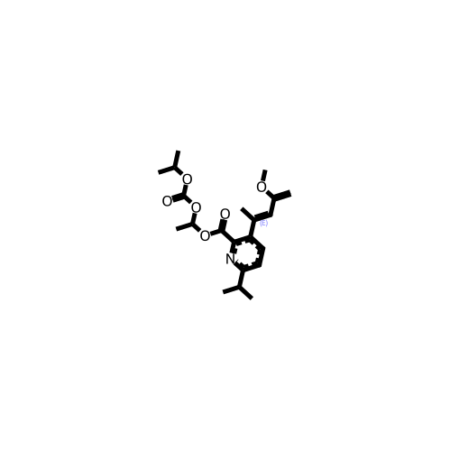 C=C(/C=C(\C)c1ccc(C(C)C)nc1C(=O)OC(C)OC(=O)OC(C)C)OC